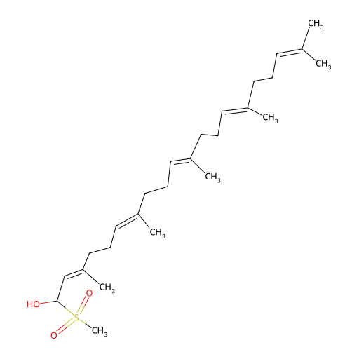 CC(C)=CCC/C(C)=C/CC/C(C)=C/CC/C(C)=C/CC/C(C)=C/C(O)S(C)(=O)=O